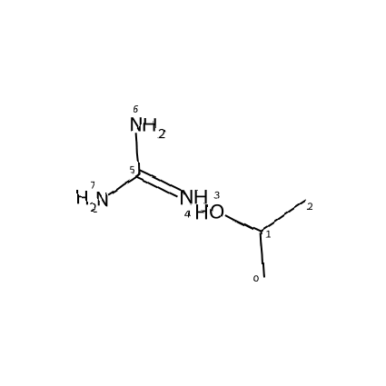 CC(C)O.N=C(N)N